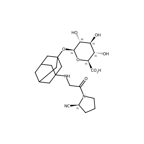 N#C[C@@H]1CCCN1C(=O)CNC12CC3CC(C1)CC(O[C@@H]1O[C@H](C(=O)O)[C@@H](O)[C@H](O)[C@H]1O)(C3)C2